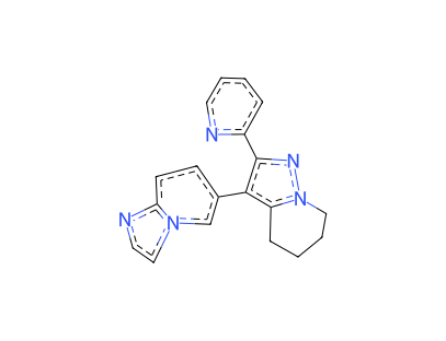 c1ccc(-c2nn3c(c2-c2ccc4nccn4c2)CCCC3)nc1